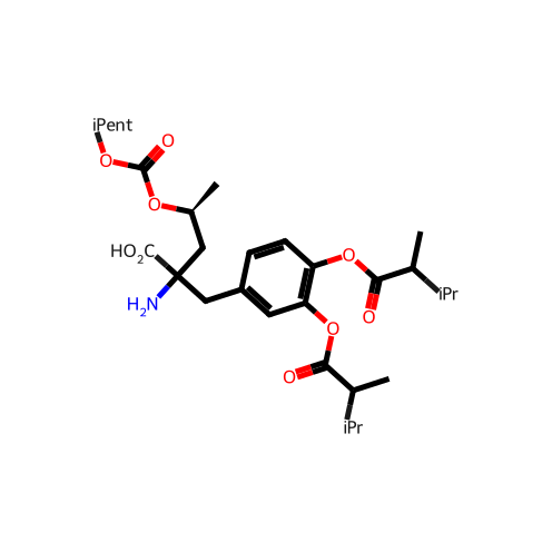 CCCC(C)OC(=O)O[C@@H](C)CC(N)(Cc1ccc(OC(=O)C(C)C(C)C)c(OC(=O)C(C)C(C)C)c1)C(=O)O